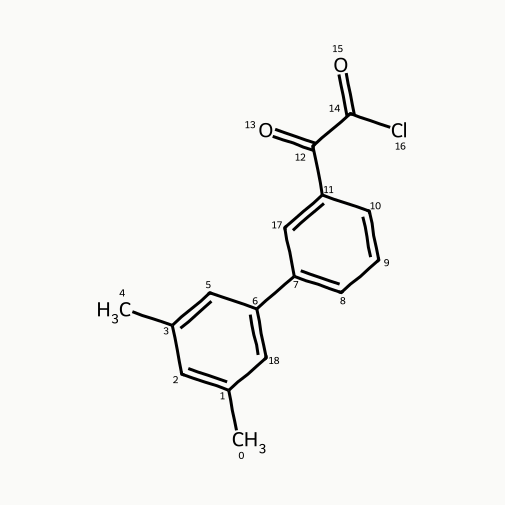 Cc1cc(C)cc(-c2cccc(C(=O)C(=O)Cl)c2)c1